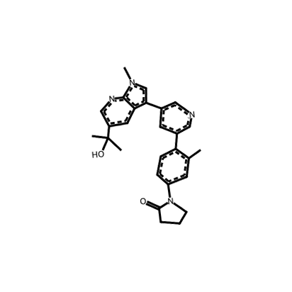 Cc1cc(N2CCCC2=O)ccc1-c1cncc(-c2cn(C)c3ncc(C(C)(C)O)cc23)c1